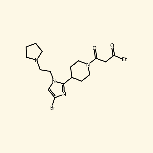 CCC(=O)CC(=O)N1CCC(c2nc(Br)cn2CCN2CCCC2)CC1